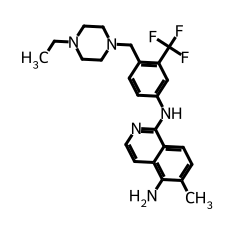 CCN1CCN(Cc2ccc(Nc3nccc4c(N)c(C)ccc34)cc2C(F)(F)F)CC1